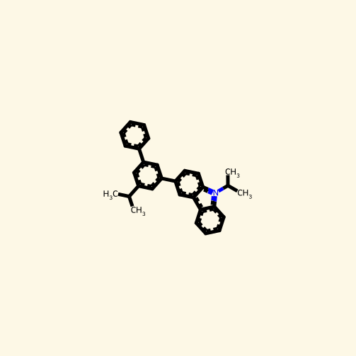 CC(C)c1cc(-c2ccccc2)cc(-c2ccc3c(c2)c2ccccc2n3C(C)C)c1